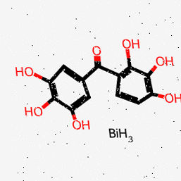 O=C(c1cc(O)c(O)c(O)c1)c1ccc(O)c(O)c1O.[BiH3]